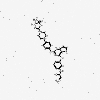 C=CC(=O)Nc1cccc(Oc2nc(Nc3ccc(N4CCN(C(=O)OC(C)(C)C)CC4)cc3)nc3ccsc23)c1